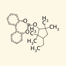 CCC1CC(C)(C)C(Op2oc3ccccc3c3ccccc3o2)C1(C)C